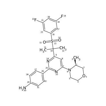 C[C@H]1COCCN1c1cc(C(C)(C)S(=O)(=O)c2cc(F)cc(F)c2)nc(-c2ccc(N)cc2)n1